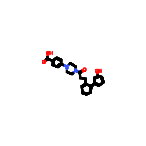 O=C(O)c1ccc(N2CCN(C(=O)CCc3ccccc3-c3cccc(O)c3)CC2)cc1